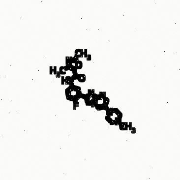 Cc1nc(C)c(C(=O)Nc2ccc(F)c(-c3cn4cc(N5CCN(C)CC5)cnc4n3)c2)o1